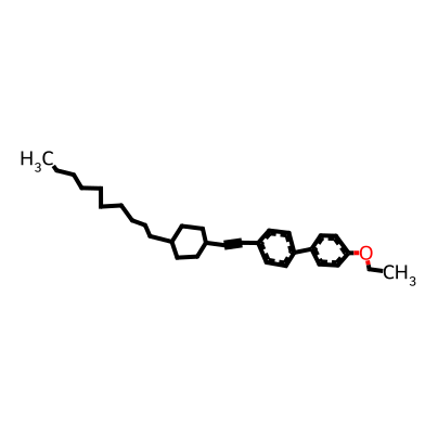 CCCCCCCCCCC1CCC(C#Cc2ccc(-c3ccc(OCC)cc3)cc2)CC1